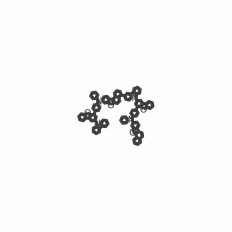 c1ccc(N(c2ccc(-c3cc(-n4c5ccccc5c5cc(-c6cccc7c6ccc6oc8cc(N(c9ccccc9)c9ccc(-c%10cc(-n%11c%12ccccc%12c%12ccccc%12%11)cc%11c%10oc%10ccccc%10%11)cc9)ccc8c67)ccc54)cc4c3oc3ccccc34)cc2)c2ccc3c(c2)oc2c4ccccc4ccc32)cc1